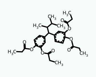 CCC(=O)Oc1ccc(C(c2ccc(OC(=O)CC)c(OC(=O)CC)c2)C(C)C(C)C)cc1OC(=O)CC